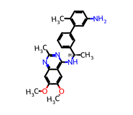 COc1cc2nc(C)nc(N[C@H](C)c3cccc(-c4cc(N)ccc4C)c3)c2cc1OC